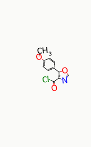 COc1ccc(-c2ocnc2C(=O)Cl)cc1